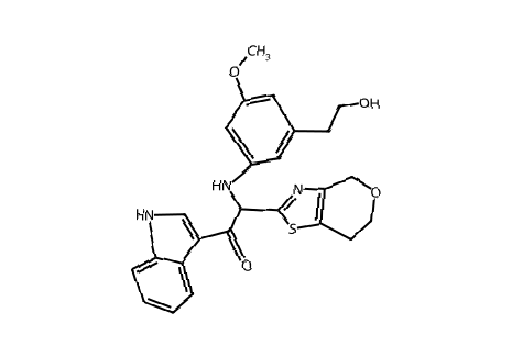 COc1cc(CCO)cc(NC(C(=O)c2c[nH]c3ccccc23)c2nc3c(s2)CCOC3)c1